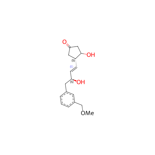 COCc1cccc(C[C@H](O)/C=C/[C@@H]2CC(=O)CC2O)c1